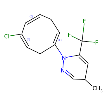 CC1C=NN(/C2=C/C/C=C\C(Cl)=C/C2)C(C(F)(F)F)=C1